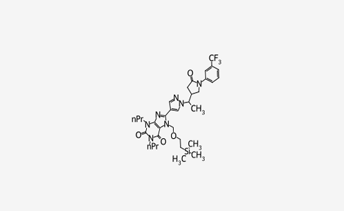 CCCn1c(=O)c2c(nc(-c3cnn(C(C)C4CC(=O)N(c5cccc(C(F)(F)F)c5)C4)c3)n2COCC[Si](C)(C)C)n(CCC)c1=O